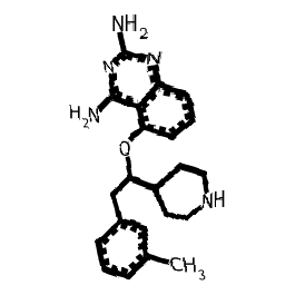 Cc1cccc(CC(Oc2cccc3nc(N)nc(N)c23)C2CCNCC2)c1